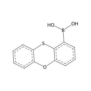 OB(O)c1cccc2c1Sc1ccccc1O2